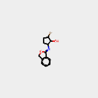 OC1C(Br)CCC1N=C1OCc2ccccc21